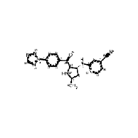 C[C@@H]1C[C@@H](Nc2cc(C#N)ccn2)C(C(=O)c2ccc(-n3ncnn3)cc2)N1